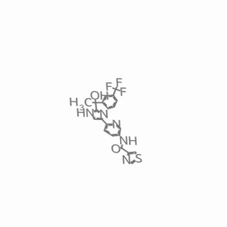 CC(O)(c1cccc(C(F)(F)F)c1)c1nc(-c2ccc(NC(=O)c3cscn3)cn2)c[nH]1